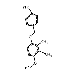 CCCOc1ccc(OCc2ccc(CCC)cc2)c(C)c1C